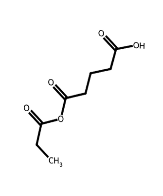 CCC(=O)OC(=O)CCCC(=O)O